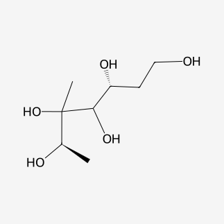 C[C@@H](O)C(C)(O)C(O)[C@H](O)CCO